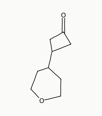 O=C1CC(C2CCOCC2)C1